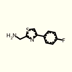 NCc1nc(-c2ccc(F)cc2)cs1